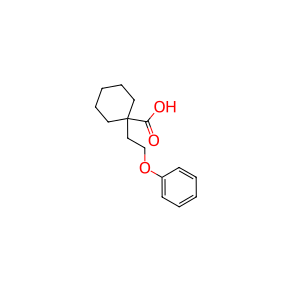 O=C(O)C1(CCOc2ccccc2)CCCCC1